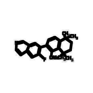 COc1c(-c2cc3cnccc3cc2F)ccc2c1C(C)(C)CCC2(C)C